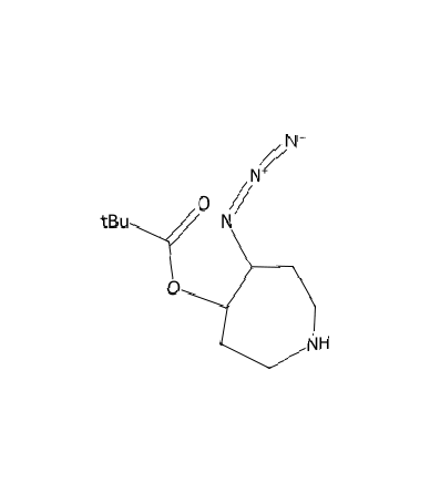 CC(C)(C)C(=O)OC1CCNCCC1N=[N+]=[N-]